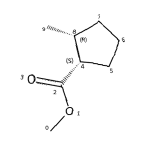 COC(=O)[C@H]1CCC[C@H]1C